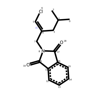 CC(C)C/C(=C\Cl)CN1C(=O)c2ccccc2C1=O